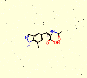 CC(=O)N/C(=C/c1cc(C)c2[nH]ncc2c1)C(=O)O